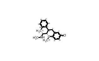 CNCCC(Cc1cc(Cl)ccc1OC)c1ccccc1C